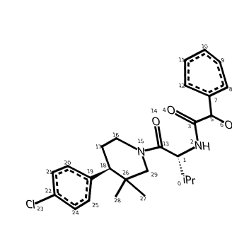 CC(C)[C@@H](NC(=O)C(O)c1ccccc1)C(=O)N1CC[C@H](c2ccc(Cl)cc2)C(C)(C)C1